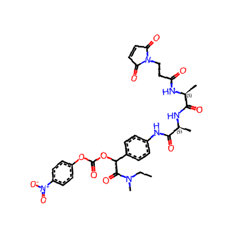 CCN(C)C(=O)C(OC(=O)Oc1ccc([N+](=O)[O-])cc1)c1ccc(NC(=O)[C@H](C)NC(=O)[C@H](C)NC(=O)CCN2C(=O)C=CC2=O)cc1